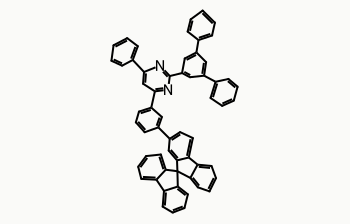 c1ccc(-c2cc(-c3ccccc3)cc(-c3nc(-c4ccccc4)cc(-c4cccc(-c5ccc6c(c5)C5(c7ccccc7-c7ccccc75)c5ccccc5-6)c4)n3)c2)cc1